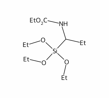 CCOC(=O)NC(CC)[Si](OCC)(OCC)OCC